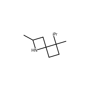 CC1CC2(CCC2(C)C(C)C)N1